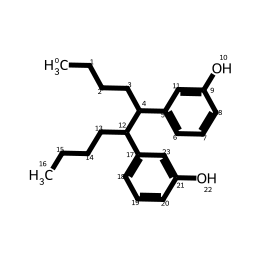 CCCCC(c1cccc(O)c1)C(CCCC)c1cccc(O)c1